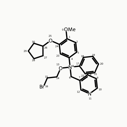 COc1ccc([N+](Cc2cccnc2)(OCCBr)c2ccccc2)cc1OC1CCCC1